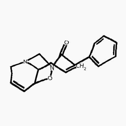 C=CCC1C2C=CCN1CN(C(=O)Cc1ccccc1)O2